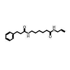 C=CCNC(=O)CCCCCNC(=O)CCc1ccccc1